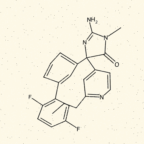 CCCc1cc(C2(c3cccc(-c4cc(F)ccc4F)c3)N=C(N)N(C)C2=O)ccn1